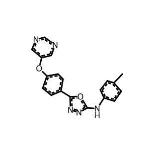 Cc1ccc(Nc2nnc(-c3ccc(Oc4cncnc4)cc3)o2)cc1